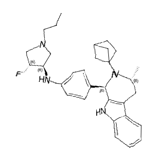 CCCN1C[C@@H](F)[C@H](Nc2ccc([C@@H]3c4[nH]c5ccccc5c4C[C@@H](C)N3C34CCC(C3)C4)cc2)C1